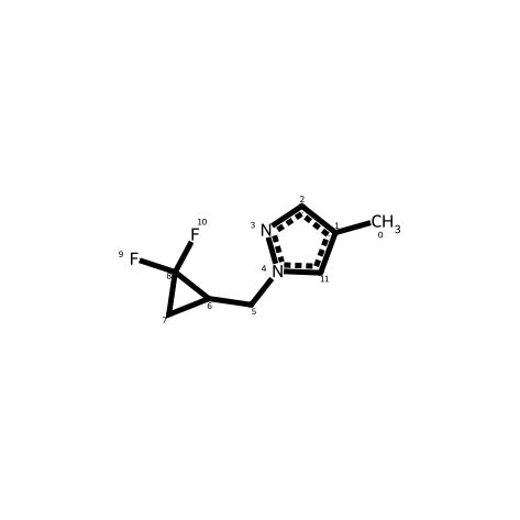 Cc1cnn(CC2CC2(F)F)c1